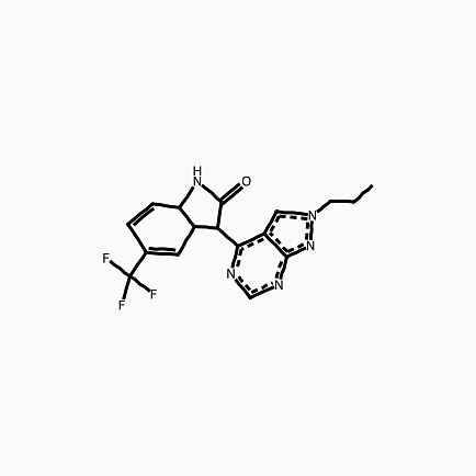 CCCn1cc2c(C3C(=O)NC4C=CC(C(F)(F)F)=CC43)ncnc2n1